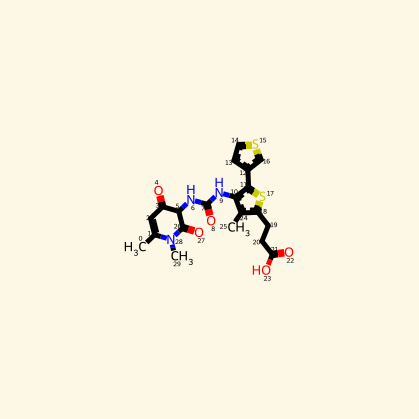 CC1=CC(=O)C(NC(=O)Nc2c(-c3ccsc3)sc(CCC(=O)O)c2C)C(=O)N1C